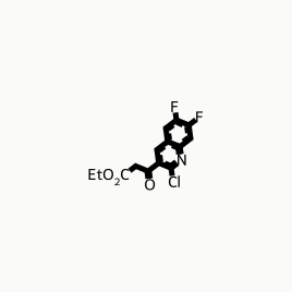 CCOC(=O)CC(=O)c1cc2cc(F)c(F)cc2nc1Cl